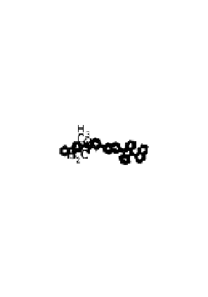 C=Cc1c(-c2cc3sc4ccccc4c3cc2C)oc2ccc(-c3ccc4cc(-c5c6ccccc6c(-c6cccc7ccccc67)c6ccccc56)ccc4c3)cc12